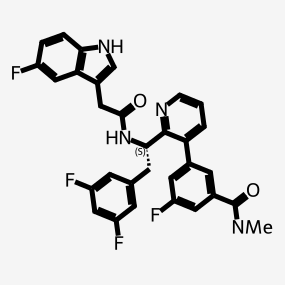 CNC(=O)c1cc(F)cc(-c2cccnc2[C@H](Cc2cc(F)cc(F)c2)NC(=O)Cc2c[nH]c3ccc(F)cc23)c1